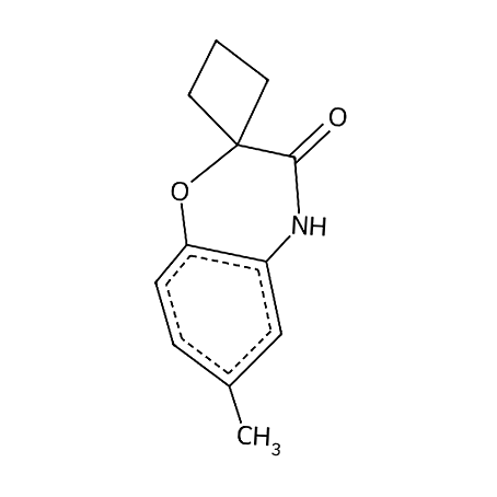 Cc1ccc2c(c1)NC(=O)C1(CCC1)O2